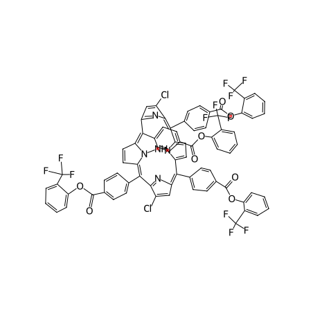 O=C(Oc1ccccc1C(F)(F)F)c1ccc(/C2=C3\C=C(Cl)C(=N3)/C(c3ccc(C(=O)Oc4ccccc4C(F)(F)F)cc3)=c3/cc/c4n3Nn3c2ccc3/C(c2ccc(C(=O)Oc3ccccc3C(F)(F)F)cc2)=C2N=C(C=C\2Cl)/C=4c2ccc(C(=O)Oc3ccccc3C(F)(F)F)cc2)cc1